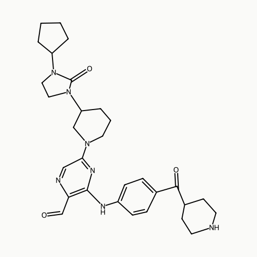 O=Cc1ncc(N2CCCC(N3CCN(C4CCCC4)C3=O)C2)nc1Nc1ccc(C(=O)C2CCNCC2)cc1